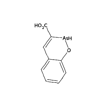 O=C(O)C1=Cc2ccccc2O[AsH]1